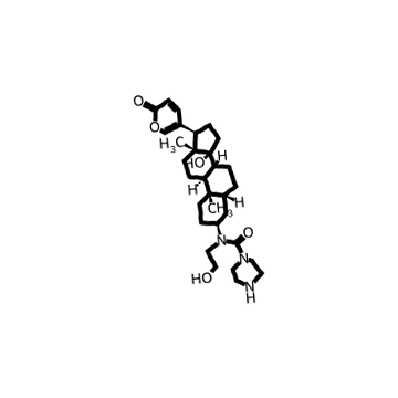 C[C@]12CC[C@H](N(CCO)C(=O)N3CCNCC3)C[C@H]1CC[C@@H]1[C@@H]2CC[C@]2(C)[C@@H](c3ccc(=O)oc3)CC[C@]12O